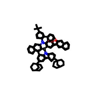 CC(C)(C)c1ccc(N2c3cc4oc5cc6ccccc6cc5c4cc3B3c4c2cc2ccccc2c4-c2cc(C45CCCC(CCC4)C5)cc4c5cc(C67CCCC(CCC6)C7)ccc5n3c24)c(-c2ccccc2)c1